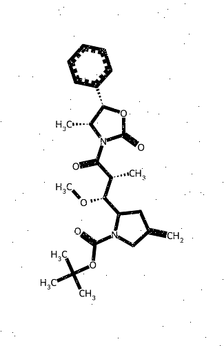 C=C1CC([C@H](OC)[C@@H](C)C(=O)N2C(=O)O[C@@H](c3ccccc3)[C@H]2C)N(C(=O)OC(C)(C)C)C1